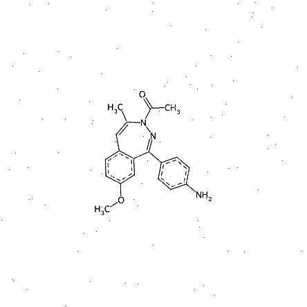 COc1ccc2c(c1)C(c1ccc(N)cc1)=NN(C(C)=O)C(C)=C2